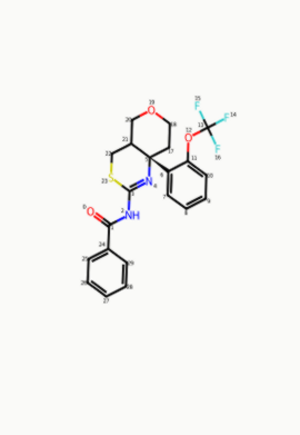 O=C(NC1=N[C@@]2(c3ccccc3OC(F)(F)F)CCOCC2CS1)c1ccccc1